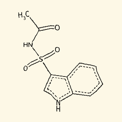 CC(=O)NS(=O)(=O)c1c[nH]c2ccccc12